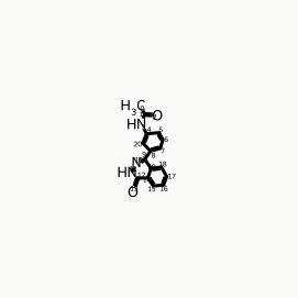 CC(=O)Nc1cccc(-c2n[nH]c(=O)c3ccccc23)c1